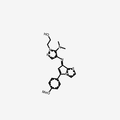 COc1ccc(C2=C/C(=N\c3cnn(CCO)c3N(C)C)c3scc[n+]32)cc1